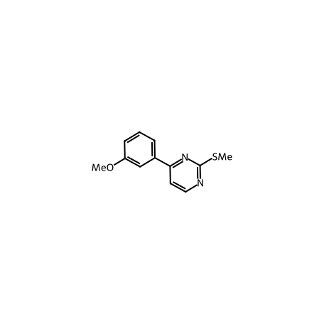 COc1cccc(-c2ccnc(SC)n2)c1